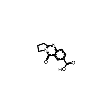 O=C(O)c1ccc2nc3n(c(=O)c2c1)CCC3